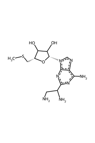 CSC[C@H]1O[C@@H](n2cnc3c(N)nc(C(N)CN)nc32)C(O)C1O